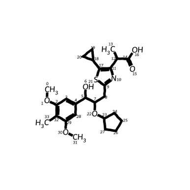 COc1cc(C(O)C(Cc2nc(C(C)C(=O)O)c(C3CC3)s2)OC2CCCC2)cc(OC)c1C